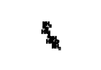 NCCNCCNNC(N)=O